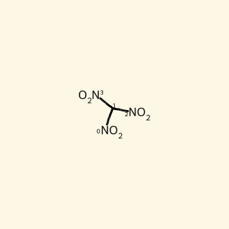 O=[N+]([O-])C([N+](=O)[O-])[N+](=O)[O-]